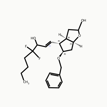 CCCCC(F)(F)C(O)/C=C/[C@@H]1[C@H]2CC(O)O[C@H]2C[C@H]1OCc1ccccc1